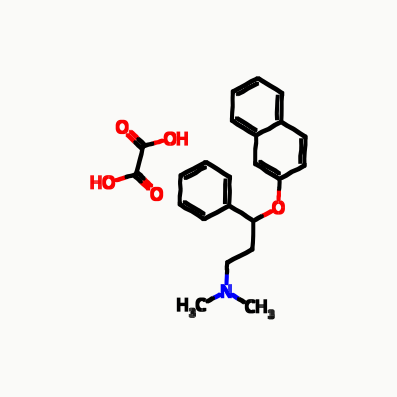 CN(C)CCC(Oc1ccc2ccccc2c1)c1ccccc1.O=C(O)C(=O)O